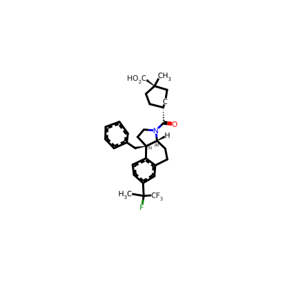 CC(F)(c1ccc2c(c1)CC[C@H]1N(C(=O)[C@H]3CC[C@](C)(C(=O)O)CC3)CC[C@@]21Cc1ccccc1)C(F)(F)F